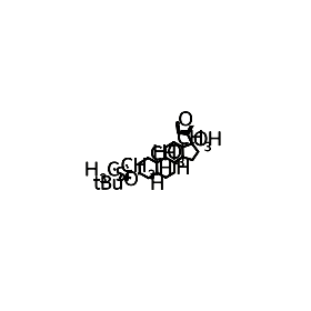 CC(C)(C)[Si](C)(C)OC1CC[C@@]2(C)[C@H](CC[C@@H]3[C@@H]2CC[C@]2(C)[C@@](O)(c4ccoc4)CC[C@]32O)C1